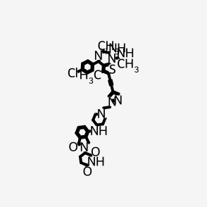 CC(=N)N1C(=N)[C@H](C)N=C(c2ccc(Cl)cc2)c2c1sc(C#Cc1cnn(CCN3CCC(Nc4cccc5c4CN(C4CCC(=O)NC4=O)C5=O)CC3)c1)c2C